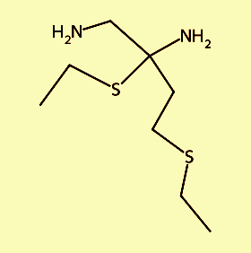 CCSCCC(N)(CN)SCC